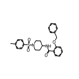 Cc1ccc(S(=O)(=O)N2CCC(NC(=O)c3ccccc3OCc3ccccc3)CC2)cc1